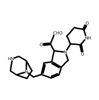 O=CC(=O)C1c2cc(CN3C4CCC3CNC4)ccc2CN1C1CCC(=O)NC1=O